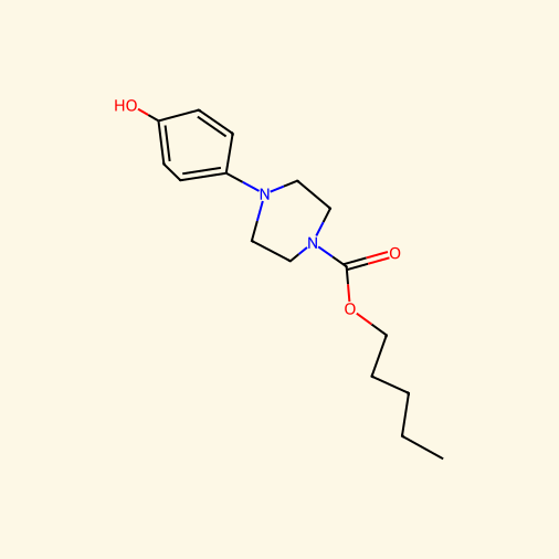 CCCCCOC(=O)N1CCN(c2ccc(O)cc2)CC1